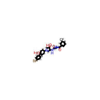 O=C(CNC(=O)c1cccc(C(F)(F)F)c1)NC1CN(C2CCC(O)(c3ccc(Br)cc3)CC2)CC1O